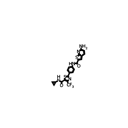 Nc1ccc2cc(C(=O)Nc3ccc(-c4nc(C(F)(F)F)c(C(=O)NC5CC5)s4)cc3)sc2n1